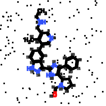 CCNCc1cncc(-c2ccc3[nH]nc(-c4nc(-c5ccccc5)c(C5CCCN5C=O)[nH]4)c3c2)c1C